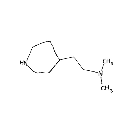 CN(C)C[CH]C1CCNCC1